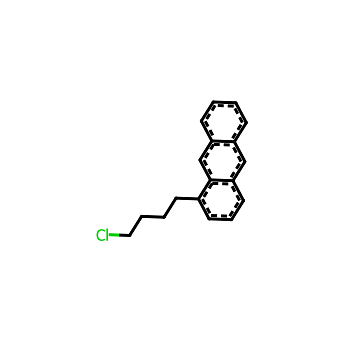 ClCCCCc1cccc2cc3ccccc3cc12